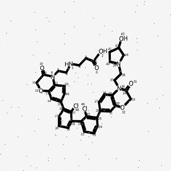 O=C(O)CCNCCN1C(=O)COc2cc(-c3cccc(-c4cccc(-c5ccc6c(c5)OCC(=O)N6CCN5CCC(O)C5)c4Cl)c3Cl)ccc21